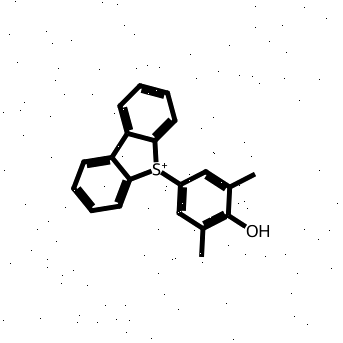 Cc1cc(-[s+]2c3ccccc3c3ccccc32)cc(C)c1O